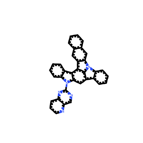 c1ccc2cc3c(cc2c1)c1c2c4ccccc4n(-c4ncc5ncccc5n4)c2cc2c4ccccc4n3c21